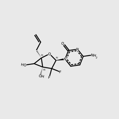 C=CC[C@]12O[C@@H](n3ccc(N)nc3=O)C(F)(F)[C@@]1(O)C2O